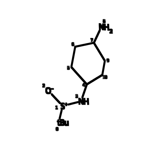 CC(C)(C)[S+]([O-])NC1CCC(N)CC1